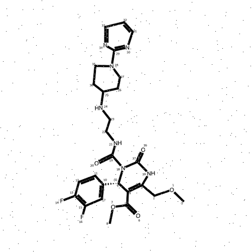 COCC1=C(C(=O)OC)[C@H](c2ccc(F)c(F)c2)N(C(=O)NCCNC2CCN(c3ncccn3)CC2)C(=O)N1